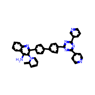 C=C1C=CC=CN1c1c(-c2ccc(-c3ccc(-c4nc(-c5ccncc5)nc(-c5cccnc5)n4)cc3)cc2)nc2ccccc2c1N